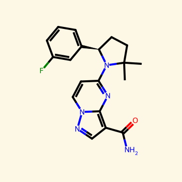 CC1(C)CC[C@H](c2cccc(F)c2)N1c1ccn2ncc(C(N)=O)c2n1